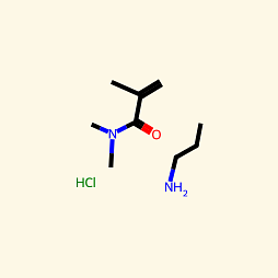 C=C(C)C(=O)N(C)C.CCCN.Cl